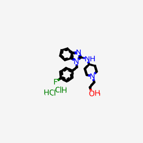 Cl.Cl.OCCN1CCC(Nc2nc3ccccc3n2Cc2ccc(F)cc2)CC1